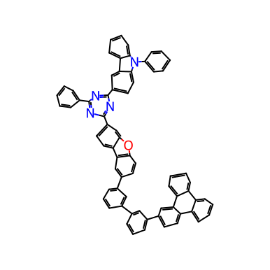 c1ccc(-c2nc(-c3ccc4c(c3)oc3ccc(-c5cccc(-c6cccc(-c7ccc8c9ccccc9c9ccccc9c8c7)c6)c5)cc34)nc(-c3ccc4c(c3)c3ccccc3n4-c3ccccc3)n2)cc1